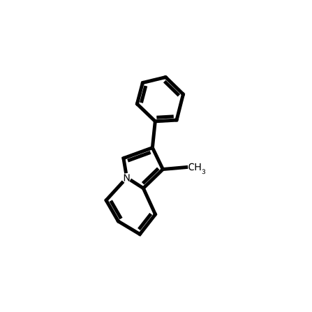 Cc1c(-c2ccccc2)cn2ccccc12